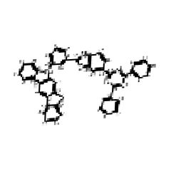 c1ccc(-c2nc(-c3ccccc3)nc(-c3ccc4nc(-c5cccc(-n6c7ccccc7c7cc8c(cc76)sc6ccccc68)c5)oc4c3)n2)cc1